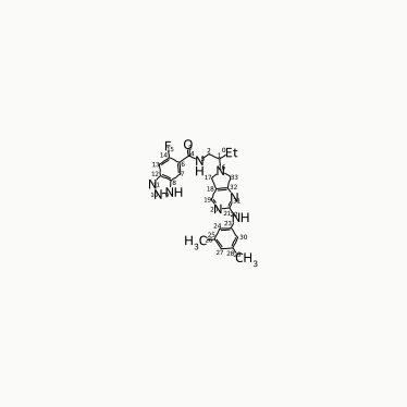 CCC(CNC(=O)c1cc2[nH]nnc2cc1F)N1Cc2cnc(Nc3cc(C)cc(C)c3)nc2C1